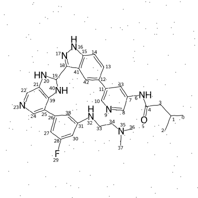 CC(C)CC(=O)Nc1cncc(-c2ccc3[nH]nc(C4Nc5cncc(-c6cc(F)cc(NCCN(C)C)c6)c5N4)c3c2)c1